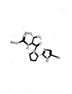 COC(=O)NC(C(=O)N1CCC[C@H]1c1ncc(Br)[nH]1)[C@@H](C)OC